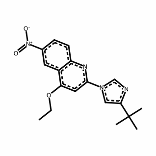 CCOc1cc(-n2cnc(C(C)(C)C)c2)nc2ccc([N+](=O)[O-])cc12